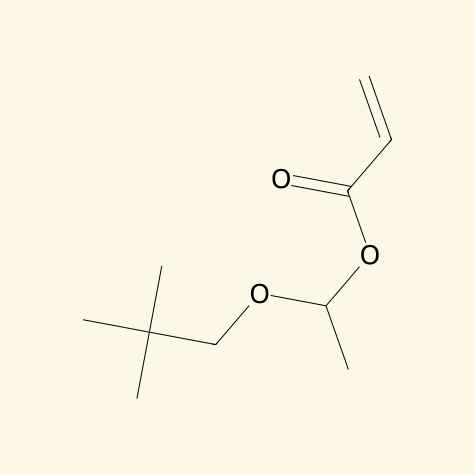 C=CC(=O)OC(C)OCC(C)(C)C